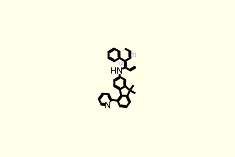 C=C/C(Nc1ccc2c(c1)C(C)(C)c1cccc(-c3ccccn3)c1-2)=C(\C=C/C)c1ccccc1